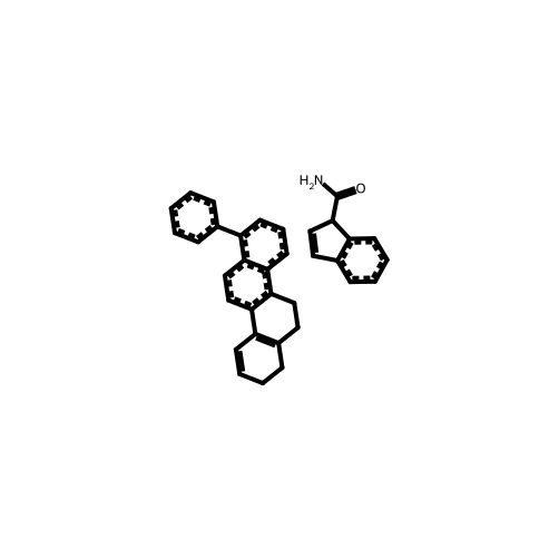 C1=CC2=C(CC1)CCc1c2ccc2c(-c3ccccc3)cccc12.NC(=O)C1C=Cc2ccccc21